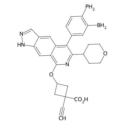 Bc1cc(-c2c(C3CCOCC3)nc(OC3CC(C#C)(C(=O)O)C3)c3cc4[nH]ncc4cc23)ccc1P